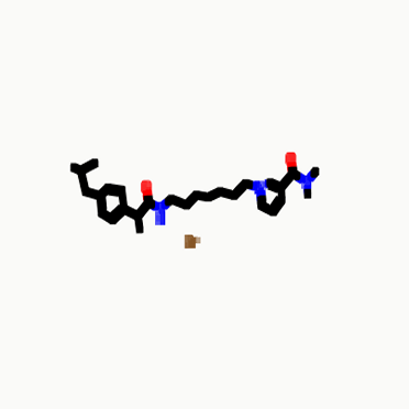 CC(C)Cc1ccc(C(C)C(=O)NCCCCCCC[n+]2cccc(C(=O)N(C)C)c2)cc1.[Br-]